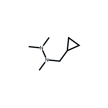 CN(C)N(C)CC1CC1